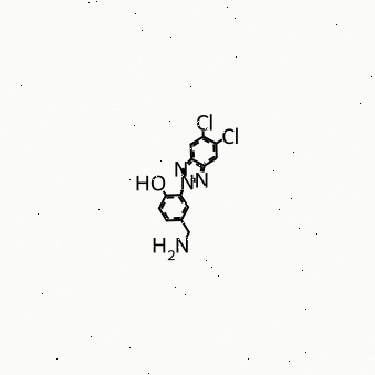 NCc1ccc(O)c(-n2nc3cc(Cl)c(Cl)cc3n2)c1